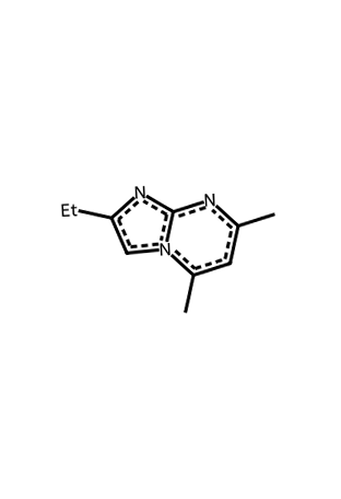 CCc1cn2c(C)cc(C)nc2n1